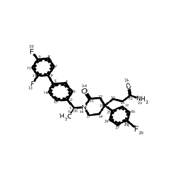 C[C@@H](c1ccc(-c2ccc(F)cc2F)cc1)N1CCC(CCC(N)=O)(c2ccc(F)cc2)CC1=O